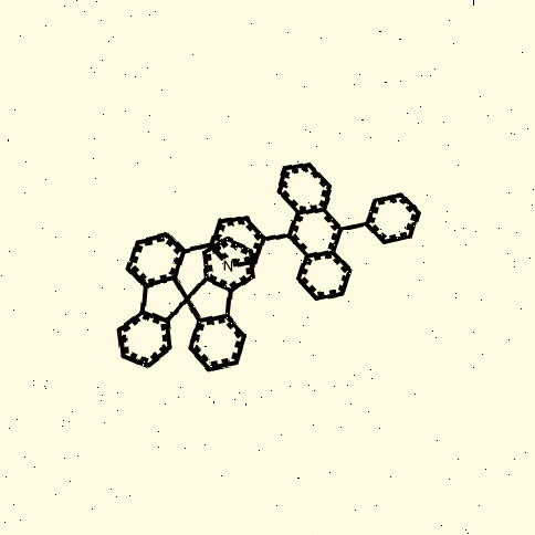 c1ccc(-c2c3ccccc3c(-c3ccc(-c4cccc5c4C4(c6ccccc6-c6ccccc64)c4ccccc4-5)nc3)c3ccccc23)cc1